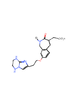 CCN1Cc2cc(OCCc3cn4c(n3)NCCN4)ccc2CC(CC(=O)O)C1=O